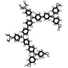 CCN(CC)c1ccc(N(c2ccc(-c3ccc(N(c4ccc(OC)cc4)c4ccc(OC)cc4)cc3)cc2)c2ccc(-c3ccc(N(c4ccc(-c5ccc(N(c6ccc(OC)cc6)c6ccc(OC)cc6)cc5)cc4)c4ccc(N(CC)CC)cc4)cc3)cc2)cc1